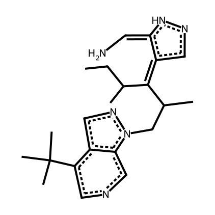 CCC(C)/C(=c1/cn[nH]/c1=C/N)C(C)Cn1ncc2c(C(C)(C)C)cncc21